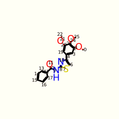 COc1cc(-c2csc(NC(=O)c3ccccc3)n2)cc(OC)c1OC